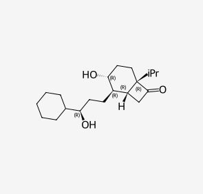 CC(C)[C@]12CC[C@@H](O)[C@H](CC[C@@H](O)C3CCCCC3)[C@H]1CC2=O